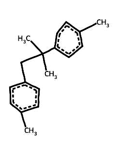 Cc1ccc(CC(C)(C)c2ccc(C)cc2)cc1